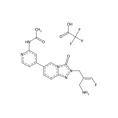 CC(=O)Nc1cc(-c2ccc3nn(C/C(=C/F)CN)c(=O)n3c2)ccn1.O=C(O)C(F)(F)F